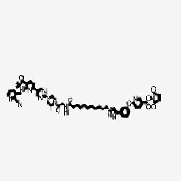 C[C@@H]1CN(c2ncc(-c3ccc4c(n3)N(Cc3cccnc3C#N)C(C)(C)C4=O)cn2)CCN1C(=O)CNC(=O)CCCCCCCCCCn1cc(-c2cccc(Oc3ccc(C(=O)ON4C(=O)CCC4=O)cn3)c2)nn1